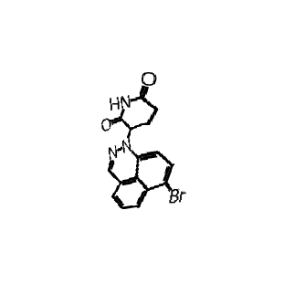 O=C1CCC(N2N=Cc3cccc4c(Br)ccc2c34)C(=O)N1